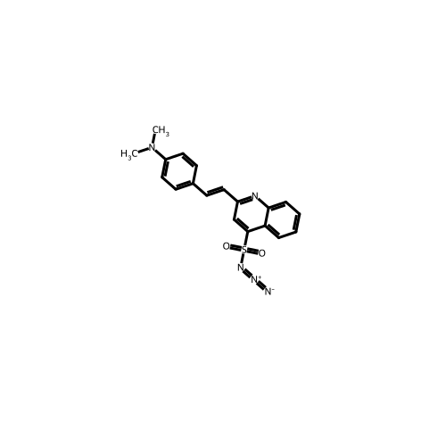 CN(C)c1ccc(/C=C/c2cc(S(=O)(=O)N=[N+]=[N-])c3ccccc3n2)cc1